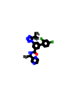 CC(C)c1nnnn1-c1cc(C(=O)NC(C)c2cnccn2)cc(-c2ccc(Cl)cc2F)c1